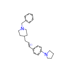 C(=C\c1ccc(N2CCCC2)cc1)/CC1CCN(Cc2ccccc2)CC1